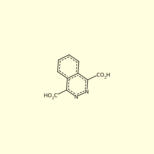 O=C(O)c1nnc(C(=O)O)c2ccccc12